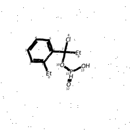 CCc1ccccc1C(Cl)(CC)O[PH](=O)O